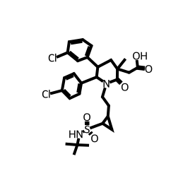 CC(C)(C)NS(=O)(=O)C1CC1CCN1C(=O)C(C)(CC(=O)O)CC(c2cccc(Cl)c2)C1c1ccc(Cl)cc1